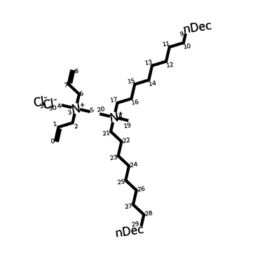 C=CC[N+](C)(C)CC=C.CCCCCCCCCCCCCCCCCC[N+](C)(C)CCCCCCCCCCCCCCCCCC.[Cl-].[Cl-]